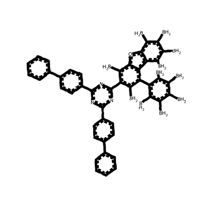 Bc1c(B)c(B)c(-c2c(B)c(-c3nc(-c4ccc(-c5ccccc5)cc4)nc(-c4ccc(-c5ccccc5)cc4)n3)c(B)c3oc4c(B)c(B)c(B)c(B)c4c23)c(B)c1B